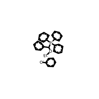 CCOC(c1ccccc1)[P+](c1ccccc1)(c1ccccc1)c1ccccc1.[O-]c1ccccc1